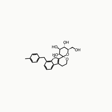 Cc1ccc(Cc2cccc3c4c(sc23)[C@]2(OCC4)O[C@H](CO)[C@@H](O)[C@H](O)[C@H]2O)cc1